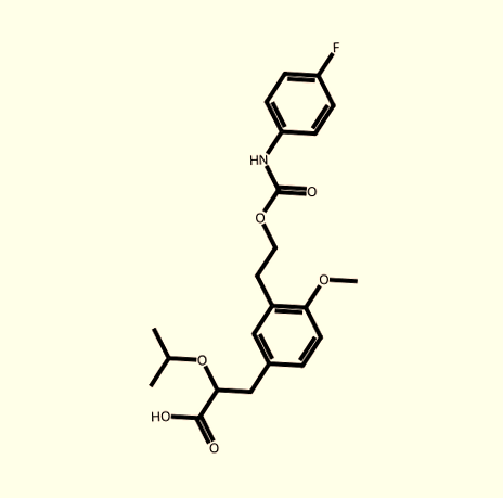 COc1ccc(CC(OC(C)C)C(=O)O)cc1CCOC(=O)Nc1ccc(F)cc1